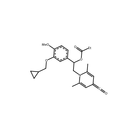 CCC(=O)OC(CN1C(C)=CC(=C=O)C=C1C)c1ccc(OC)c(OCC2CC2)c1